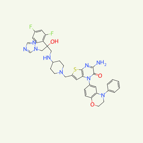 Nc1nc2sc(CN3CCC(NCC(O)(Cn4cncn4)c4ccc(F)cc4F)CC3)cc2n(-c2ccc3c(c2)N(c2ccccc2)CCO3)c1=O